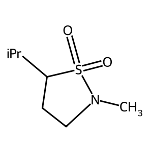 CC(C)C1CCN(C)S1(=O)=O